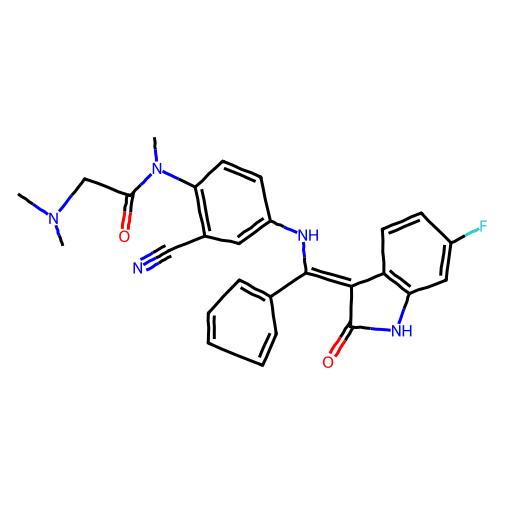 CN(C)CC(=O)N(C)c1ccc(NC(=C2C(=O)Nc3cc(F)ccc32)c2ccccc2)cc1C#N